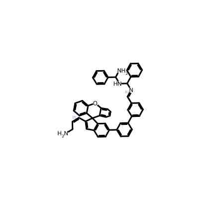 NC/C=C\C1=Cc2ccc(-c3cccc(-c4cccc(/C=N/C(NC(N)c5ccccc5)c5ccccc5)c4)c3)cc2C12c1ccccc1Oc1ccccc12